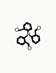 O=Cc1ccccc1N(c1ccccc1C=O)c1ccccc1C=O